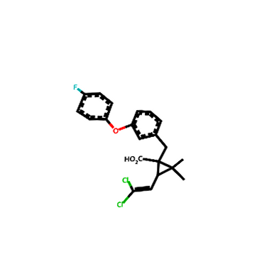 CC1(C)C(C=C(Cl)Cl)C1(Cc1cccc(Oc2ccc(F)cc2)c1)C(=O)O